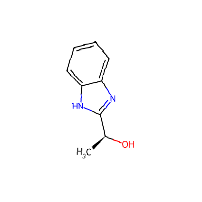 C[C@H](O)c1nc2ccccc2[nH]1